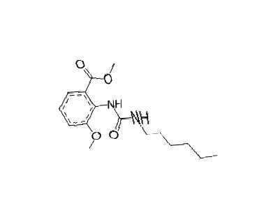 CCCCCCNC(=O)Nc1c(OC)cccc1C(=O)OC